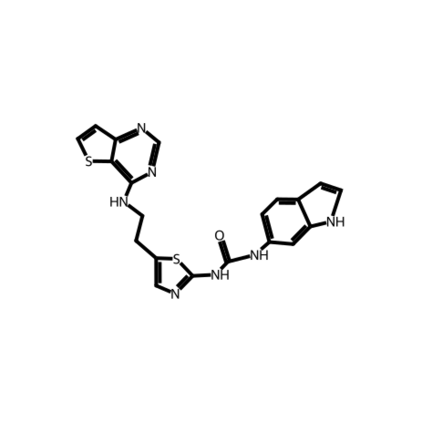 O=C(Nc1ccc2cc[nH]c2c1)Nc1ncc(CCNc2ncnc3ccsc23)s1